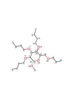 CCCCOC1C(OCCCC)[C@@H](OCCCC)C(COCCC)O[C@@H]1OC